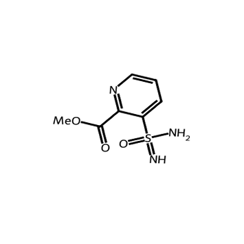 COC(=O)c1ncccc1S(=N)(N)=O